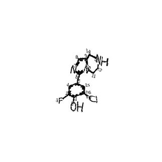 Oc1c(F)cc(-c2ncc3n2CCNC3)cc1Cl